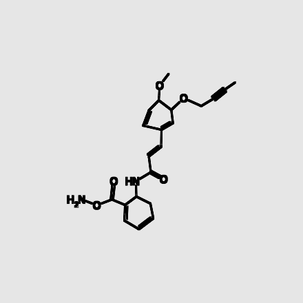 CC#CCOC1C=C(/C=C/C(=O)NC2CC=CC=C2C(=O)ON)C=CC1OC